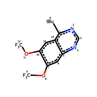 CC(C)(C)c1ncnc2cc(OC(F)(F)F)c(OC(F)(F)F)cc12